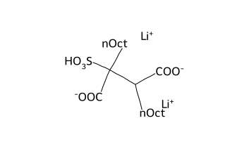 CCCCCCCCC(C(=O)[O-])C(CCCCCCCC)(C(=O)[O-])S(=O)(=O)O.[Li+].[Li+]